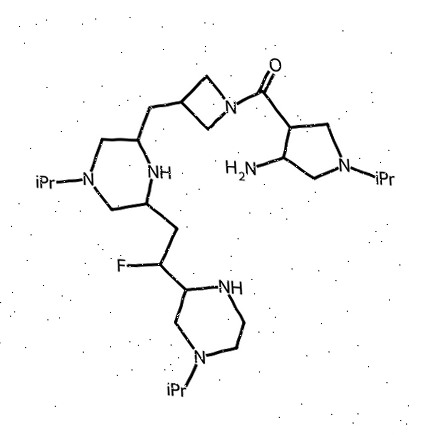 CC(C)N1CC(CC2CN(C(=O)C3CN(C(C)C)CC3N)C2)NC(CC(F)C2CN(C(C)C)CCN2)C1